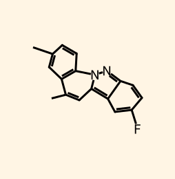 Cc1ccc2c(c1)c(C)cc1c3cc(F)ccc3nn21